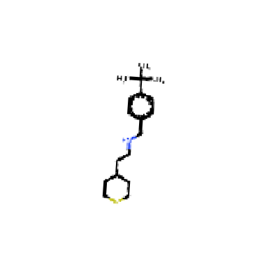 CC(C)(C)c1ccc(CNCCC2CCSCC2)cc1